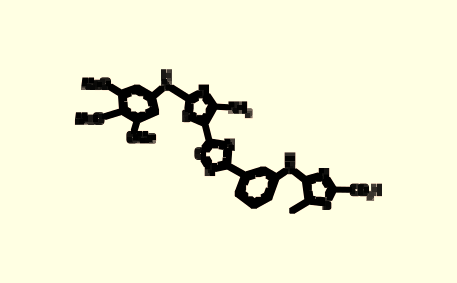 COc1cc(Nc2nc(N)c(-c3nc(-c4cccc(Nc5nc(C(=O)O)sc5C)c4)no3)s2)cc(OC)c1OC